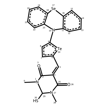 CN1C(=O)C(=Cc2ccc(N3c4ccccc4[Se]c4ccccc43)[te]2)C(=O)N(C)C1S